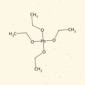 CC[O][Pb]([O]CC)([O]CC)[O]CC